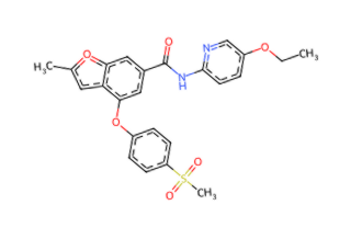 CCOc1ccc(NC(=O)c2cc(Oc3ccc(S(C)(=O)=O)cc3)c3cc(C)oc3c2)nc1